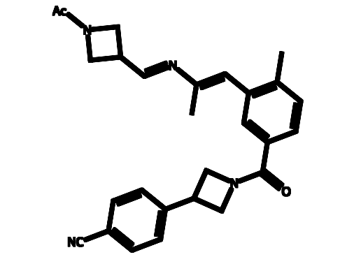 CC(=O)N1CC(/C=N/C(C)=C/c2cc(C(=O)N3CC(c4ccc(C#N)cc4)C3)ccc2C)C1